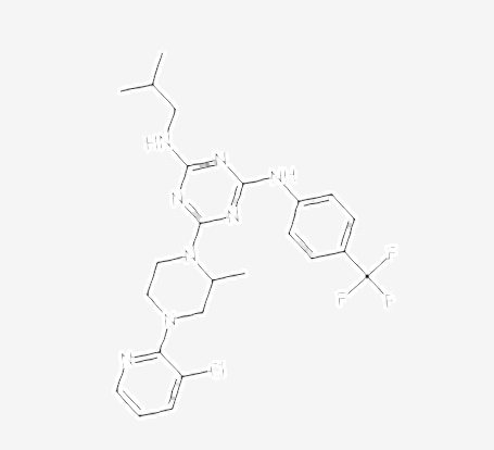 CC(C)CNc1nc(Nc2ccc(C(F)(F)F)cc2)nc(N2CCN(c3ncccc3Cl)CC2C)n1